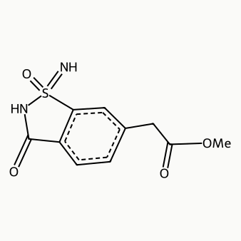 COC(=O)Cc1ccc2c(c1)S(=N)(=O)NC2=O